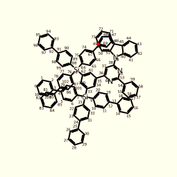 c1ccc(-c2ccc([Si](c3ccc(-c4ccccc4)cc3)(c3ccc(-c4ccccc4)cc3)c3cc(-c4cc(-n5c6ccccc6c6ccccc65)nc(-c5ccccc5)n4)cc([Si](c4ccc(-c5ccccc5)cc4)(c4ccc(-c5ccccc5)cc4)c4ccc(-c5ccccc5)cc4)c3)cc2)cc1